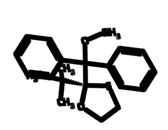 CC(C)(C)[C@@]1(C(O[SiH3])(c2ccccc2)c2ccccc2)OCCS1